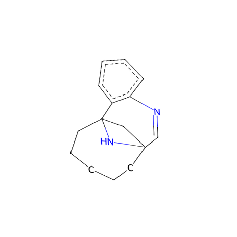 C1=Nc2ccccc2C23CCCCCC1(C2)N3